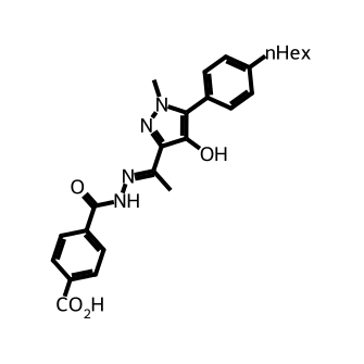 CCCCCCc1ccc(-c2c(O)c(/C(C)=N/NC(=O)c3ccc(C(=O)O)cc3)nn2C)cc1